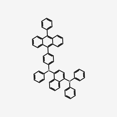 c1ccc(-c2c3ccccc3c(-c3ccc(N(c4ccccc4)c4ccc(N(c5ccccc5)c5ccccc5)c5ccccc45)cc3)c3ccccc23)cc1